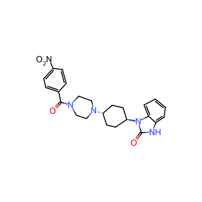 O=C(c1ccc([N+](=O)[O-])cc1)N1CCN([C@H]2CC[C@H](n3c(=O)[nH]c4ccccc43)CC2)CC1